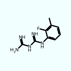 Cc1cccc(NC(=N)NC(=N)N)c1F